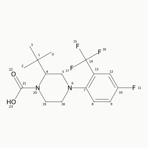 CC(C)(C)C1CN(c2ccc(F)cc2C(F)(F)F)CCN1C(=O)O